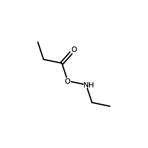 CCNOC(=O)CC